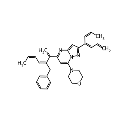 C=C/C=C(\C=C/C)c1cc2nc(C(=C)/C(=C\C=C/C)Cc3ccccc3)cc(N3CCOCC3)n2n1